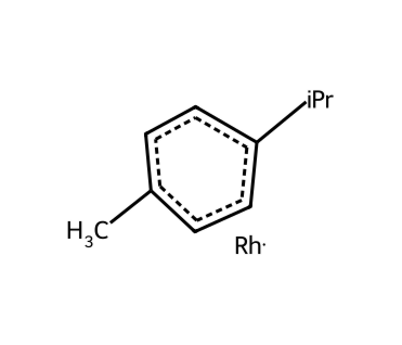 Cc1ccc(C(C)C)cc1.[Rh]